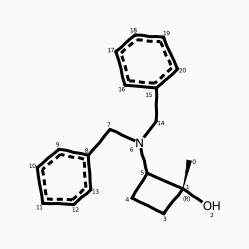 C[C@@]1(O)CCC1N(Cc1ccccc1)Cc1ccccc1